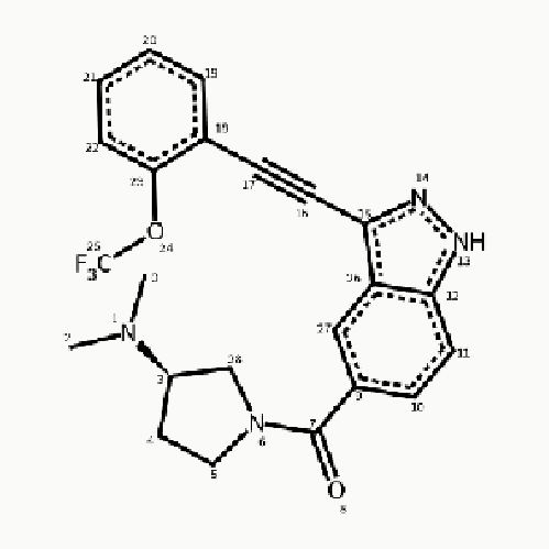 CN(C)[C@@H]1CCN(C(=O)c2ccc3[nH]nc(C#Cc4ccccc4OC(F)(F)F)c3c2)C1